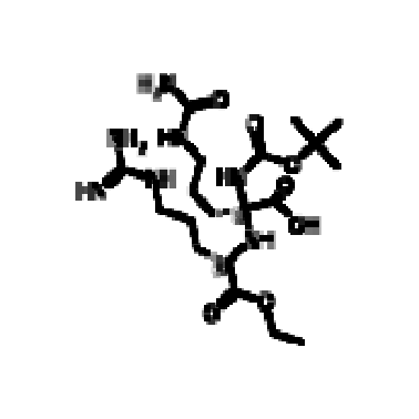 CCOC(=O)[C@H](CCCNC(=N)N)N[C@@](CCCNC(N)=O)(NC(=O)OC(C)(C)C)C(=O)O